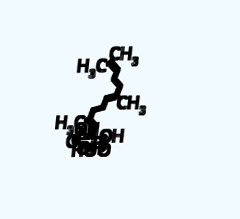 CC(C)=CCCC(C)=CCCC(C)=CC(P(=O)(O)O)P(=O)(O)O